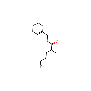 CC(C)CCCC(C)C(=O)CCC1=CCCCC1